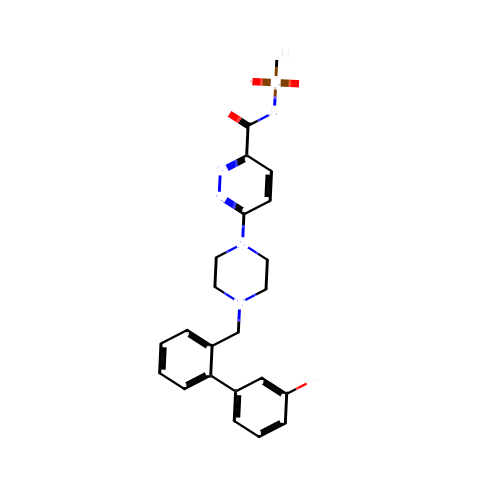 CS(=O)(=O)NC(=O)c1ccc(N2CCN(Cc3ccccc3-c3cccc(O)c3)CC2)nn1